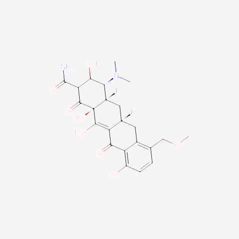 COCc1ccc(O)c2c1C[C@H]1C[C@H]3[C@H](N(C)C)C(O)C(C(N)=O)C(=O)[C@@]3(O)C(O)=C1C2=O